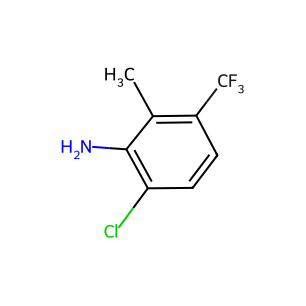 Cc1c(C(F)(F)F)ccc(Cl)c1N